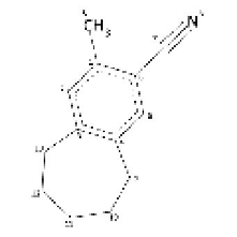 Cc1cc2c(cc1C#N)CCCCC2